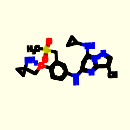 CS(=O)(=O)Cc1cc(Nc2cc(NC3CC3)n3ncc(C#N)c3n2)ccc1OCC1(N)CC1